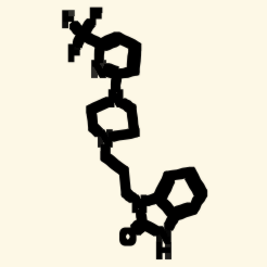 O=c1[nH]c2ccccc2n1CCCN1CCN(c2cccc(C(F)(F)F)n2)CC1